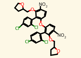 O=[N+]([O-])c1ccc(Oc2ccc([N+](=O)[O-])c(OCC3CCCO3)c2-c2ccc(Cl)cc2Cl)c(-c2ccc(Cl)cc2Cl)c1OCC1CCCO1